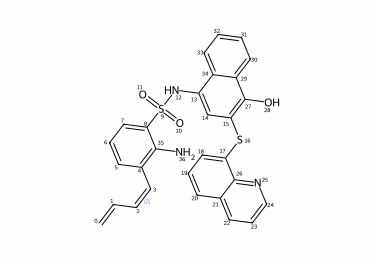 C=C/C=C\c1cccc(S(=O)(=O)Nc2cc(Sc3cccc4cccnc34)c(O)c3ccccc23)c1N